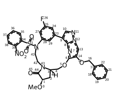 CO[C@@H]1C[C@H]2COc3nc4c(cnn4cc3OCc3ccccc3)-c3cc(F)cc(c3)N(S(=O)(=O)c3ccccc3[N+](=O)[O-])CCN2C1=O